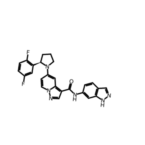 O=C(Nc1ccc2cn[nH]c2c1)c1cnn2ccc(N3CCC[C@@H]3c3cc(F)ccc3F)cc12